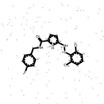 O=C(NCc1ccc(F)cc1)c1ccc(NSc2c(Cl)cccc2Cl)[nH]1